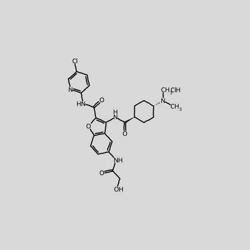 CN(C)[C@H]1CC[C@H](C(=O)Nc2c(C(=O)Nc3ccc(Cl)cn3)oc3ccc(NC(=O)CO)cc23)CC1.Cl